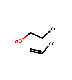 C=CC(C)=O.CC(=O)CCO